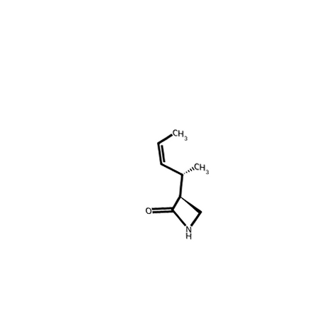 C/C=C\[C@H](C)[C@H]1CNC1=O